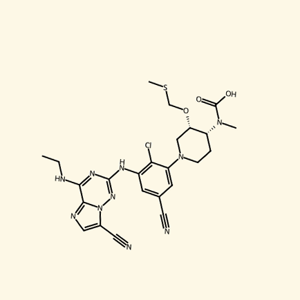 CCNc1nc(Nc2cc(C#N)cc(N3CC[C@@H](N(C)C(=O)O)[C@@H](OCSC)C3)c2Cl)nn2c(C#N)cnc12